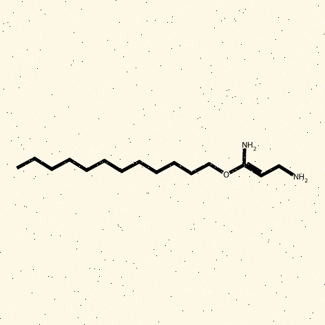 CCCCCCCCCCCCOC(N)=CCN